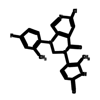 Cc1cc(F)ccc1N1CN(c2ccc(=O)[nH]c2C)C(=O)c2cc(Cl)ncc21